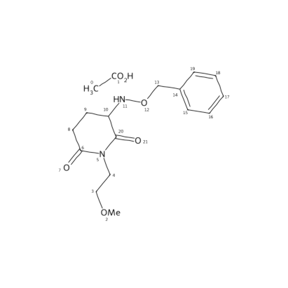 CC(=O)O.COCCN1C(=O)CCC(NOCc2ccccc2)C1=O